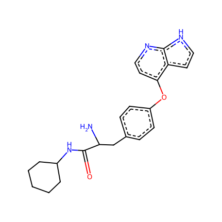 NC(Cc1ccc(Oc2ccnc3[nH]ccc23)cc1)C(=O)NC1CCCCC1